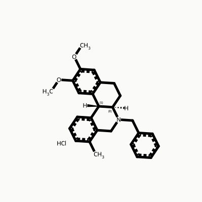 COc1cc2c(cc1OC)[C@H]1c3cccc(C)c3CN(Cc3ccccc3)[C@@H]1CC2.Cl